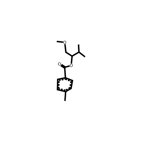 COCC(OC(=O)c1ccc(C)cc1)C(C)C